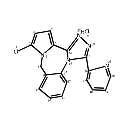 Cl.Clc1ccc2n1Cc1ccccc1-n1c(-c3ccccn3)nnc1-2